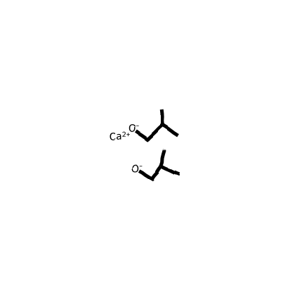 CC(C)C[O-].CC(C)C[O-].[Ca+2]